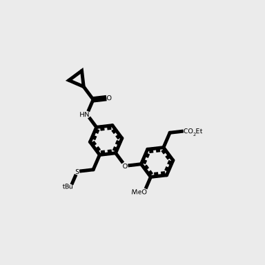 CCOC(=O)Cc1ccc(OC)c(Oc2ccc(NC(=O)C3CC3)cc2CSC(C)(C)C)c1